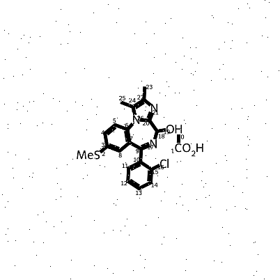 CC(=O)O.CSc1ccc2c(c1)C(c1ccccc1Cl)=NC(O)c1nc(C)c(C)n1-2